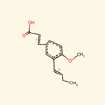 CC/C=C/c1cc(/C=C/C(=O)O)ccc1OC